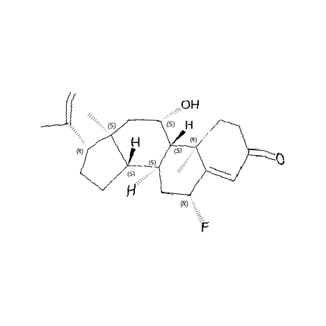 C=C(C)[C@H]1CC[C@H]2[C@@H]3C[C@@H](F)C4=CC(=O)CC[C@]4(C)[C@H]3[C@@H](O)C[C@]12C